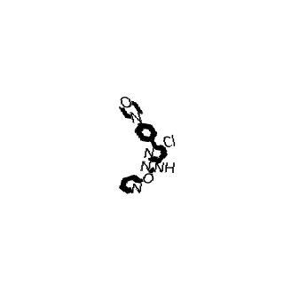 Clc1cc2[nH]c(Oc3ccccn3)nc2nc1-c1ccc(N2CCOCC2)cc1